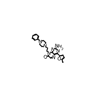 Cc1ccc(-c2nc(N)nc3c2ncc(=O)n3CCN2CCN(c3ccccc3)CC2)o1